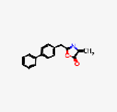 C=C1N=C(Cc2ccc(-c3ccccc3)cc2)OC1=O